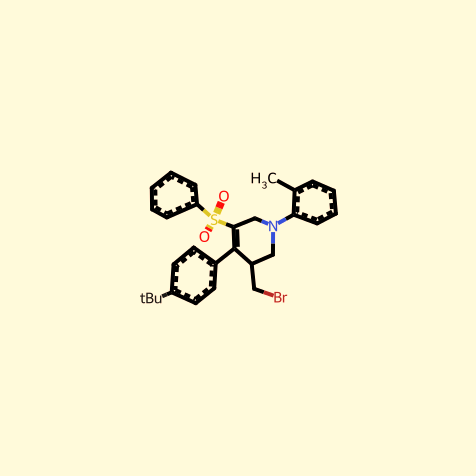 Cc1ccccc1N1CC(S(=O)(=O)c2ccccc2)=C(c2ccc(C(C)(C)C)cc2)C(CBr)C1